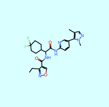 CCc1nocc1C(=O)NC(C(=O)Nc1ccc(-c2c(C)cnn2C)cn1)C1CCC(F)(F)CC1